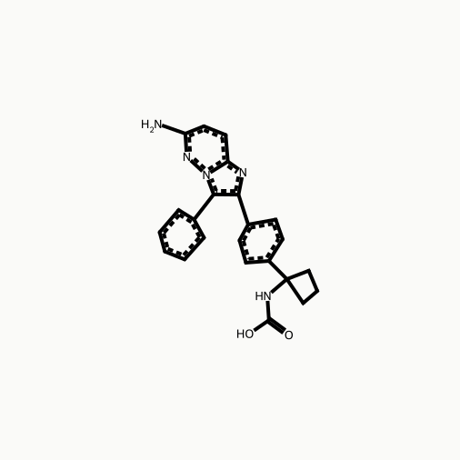 Nc1ccc2nc(-c3ccc(C4(NC(=O)O)CCC4)cc3)c(-c3ccccc3)n2n1